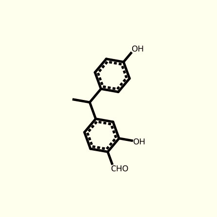 CC(c1ccc(O)cc1)c1ccc(C=O)c(O)c1